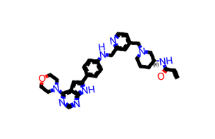 C=CC(=O)N[C@@H]1CCCN(Cc2ccnc(CNc3ccc(-c4cc5c(N6CCOCC6)ncnc5[nH]4)cc3)c2)C1